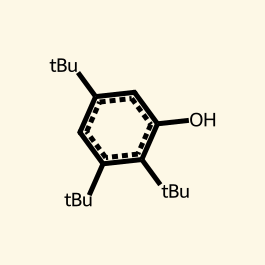 CC(C)(C)c1cc(O)c(C(C)(C)C)c(C(C)(C)C)c1